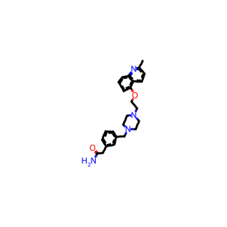 Cc1ccc2c(OCCN3CCN(Cc4cccc(CC(N)=O)c4)CC3)cccc2n1